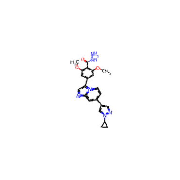 COc1cc(-c2cnc3cc(-c4cnn(C5CC5)c4)ccn23)cc(OC)c1C(=O)NN